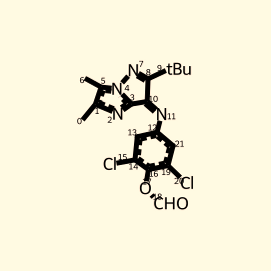 Cc1nc2n(c1C)N=C(C(C)(C)C)/C2=N/c1cc(Cl)c(OC=O)c(Cl)c1